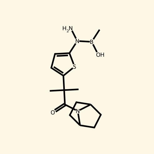 CB(O)N(N)c1ccc(C(C)(C)C(=O)N2C3CCC2CC3)s1